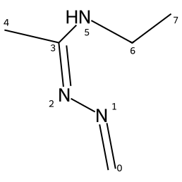 C=N/N=C(/C)NCC